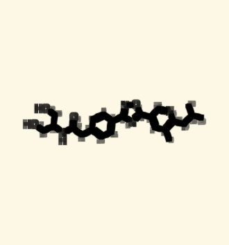 Cc1cc(-c2nc(-c3ccc(CC(=O)NC(CO)CO)cc3)no2)cnc1CC(C)C